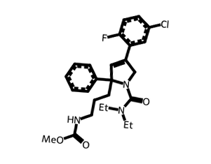 CCN(CC)C(=O)N1CC(c2cc(Cl)ccc2F)=CC1(CCCNC(=O)OC)c1ccccc1